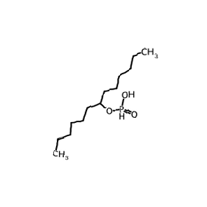 CCCCCCC(CCCCCC)O[PH](=O)O